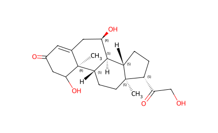 C[C@]12CC[C@H]3[C@@H]([C@H](O)CC4=CC(=O)CC(O)[C@@]43C)[C@@H]1CC[C@@H]2C(=O)CO